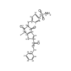 Cn1c(=O)n(Cc2ccc(S(N)(=O)=O)cc2)c(=O)c2cc(C(=O)OCc3ccccc3)sc21